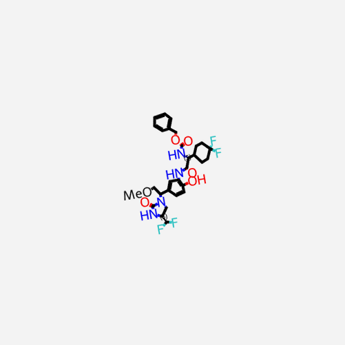 COCC(c1ccc(O)c(NC(=O)[C@@H](NC(=O)OCc2ccccc2)C2CCC(F)(F)CC2)c1)N1C[C@@H](C(F)F)NC1=O